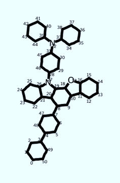 C1CCC(C2CCC(C3CC4C5CCCCC5OC4C4C3C3CCCCC3N4C3CCC(N(C4CCCCC4)C4CCCCC4)CC3)CC2)CC1